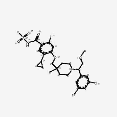 COCC(c1cc(Cl)cc(Cl)c1)N1CCC(C)(COc2cc(F)c(C(=O)NS(C)(=O)=O)cc2C2CC2)CC1